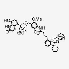 COc1cc(NC(=O)CCCc2cccc(C3(C(=O)O[C@H]4CN5CCC4CC5)CCCCC3)c2)c(Cl)cc1CNC[C@H](O[Si](C)(C)C(C)(C)C)c1ccc(O)c2[nH]c(=O)ccc12